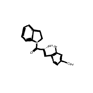 N[C@H](Cc1ccc(O)cc1Br)C(=O)N1CCc2ccccc21